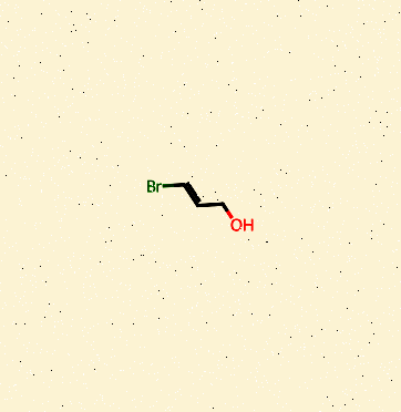 OCC=CBr